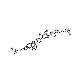 C=CCCOc1ccc(OC(=O)c2ccc(-c3ccc(-c4ccc(OCCCC)cc4)c(F)c3F)cc2)c(F)c1